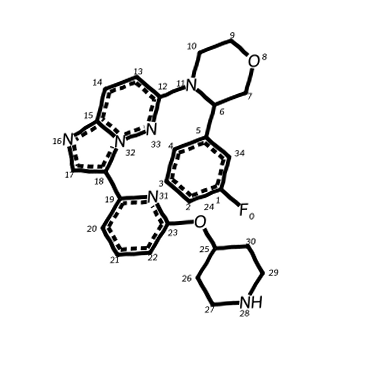 Fc1cccc(C2COCCN2c2ccc3ncc(-c4cccc(OC5CCNCC5)n4)n3n2)c1